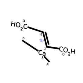 O=C(O)/C=C/C(=O)O.[CH3][Ca][CH3]